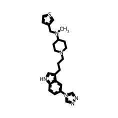 CN(Cc1ccsc1)C1CCN(CCCc2c[nH]c3ccc(-n4cnnc4)cc23)CC1